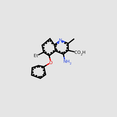 CCc1ccc2nc(C)c(C(=O)O)c(N)c2c1Oc1ccccc1